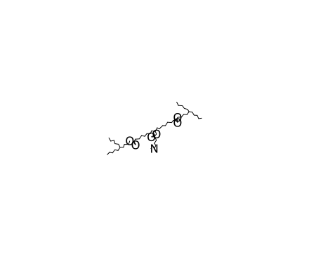 CCCCCC(CCCCC)CCCOC(=O)CCCCCCCC(CCCCCCCC(=O)OCCCC(CCCCC)CCCCC)OC(=O)CCCN(C)C